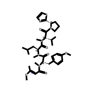 CO/C(C)=C/C(=O)N(C)[C@@H](Cc1ccc(OC)cc1)C(=O)N(C)[C@@H](CC(C)C)C(=O)N(C)[C@H](C(=O)N1CCC[C@H]1c1nccs1)C(C)C